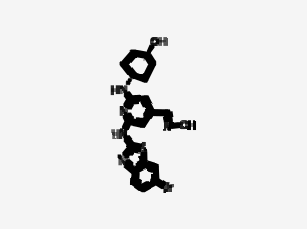 ON=Cc1cc(Nc2nc3ccc(Br)cc3s2)nc(N[C@H]2CC[C@H](O)CC2)c1